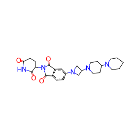 O=C1CCC(N2C(=O)c3ccc(N4CC(N5CCC(N6CCCCC6)CC5)C4)cc3C2=O)C(=O)N1